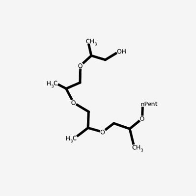 CCCCCOC(C)COC(C)COC(C)COC(C)CO